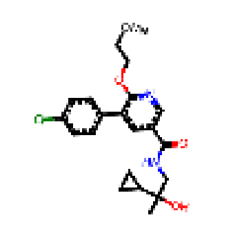 COCCOc1ncc(C(=O)NCC(C)(O)C2CC2)cc1-c1ccc(Cl)cc1